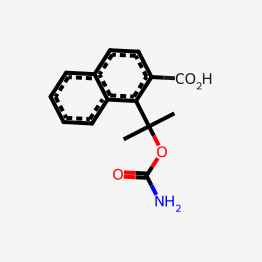 CC(C)(OC(N)=O)c1c(C(=O)O)ccc2ccccc12